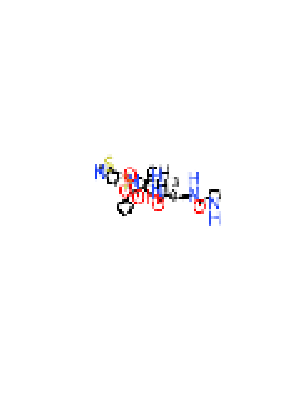 CC(C)CN(C(O)(CCNC(=O)CCC#CNC(=O)C1CCCN1)Cc1ccccc1)S(=O)(=O)c1ccc2ncsc2c1